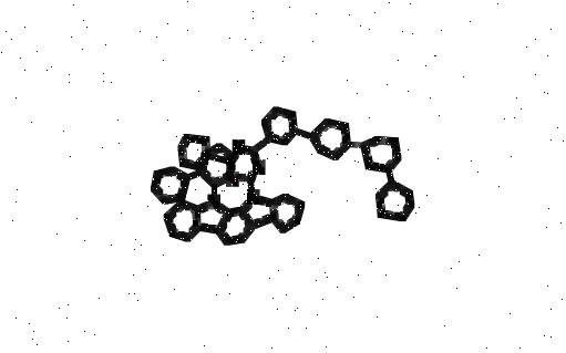 c1ccc(-c2cccc(-c3ccc(-c4cccc(-c5nc(-c6ccccc6)nc(-n6c7ccccc7c7ccc8c9ccccc9n(-c9ccccc9-c9ccccc9)c8c76)n5)c4)cc3)c2)cc1